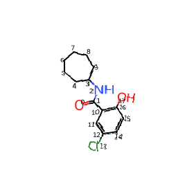 O=C(NC1CCCCCC1)c1cc(Cl)ccc1O